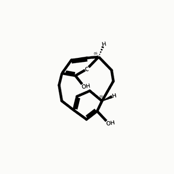 OC1=CC2=CC[C@@H]1CC[C@@H]1C=CC(=C(O)C1)CC2